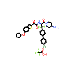 NC1CCN(C(=O)C(NC(=O)C(=O)c2cc3ccc(OC4CCCC4)cc3s2)C(F)(F)c2ccc(-c3ccc(Cl)cc3)cc2)CC1.O=C(O)C(F)(F)F